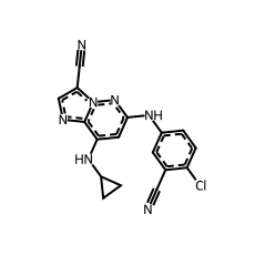 N#Cc1cc(Nc2cc(NC3CC3)c3ncc(C#N)n3n2)ccc1Cl